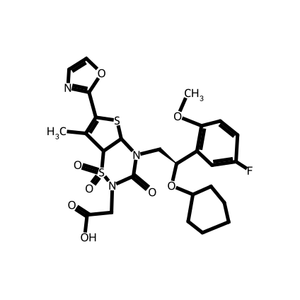 COc1ccc(F)cc1[C@H](CN1C(=O)N(CC(=O)O)S(=O)(=O)C2C(C)=C(c3ncco3)SC21)OC1CCCCC1